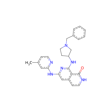 Cc1ccnc(Nc2cc3cc[nH]c(=O)c3c(NC3CCN(Cc4ccccc4)C3)n2)c1